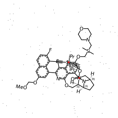 COCOc1cc(-c2nc3c4c(nc(OC[Si](C)(C)CN5CCOCC5)nc4c2F)N2C[C@H]4CC[C@@H]([C@H]2CO3)N4C(=O)OC(C)(C)C)c2c(C#C[Si](C(C)C)(C(C)C)C(C)C)c(F)ccc2c1